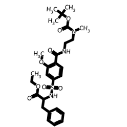 CCOC(=O)C(Cc1ccccc1)NS(=O)(=O)c1ccc(C(=O)NCCN(C)C(=O)OC(C)(C)C)c(OC)c1